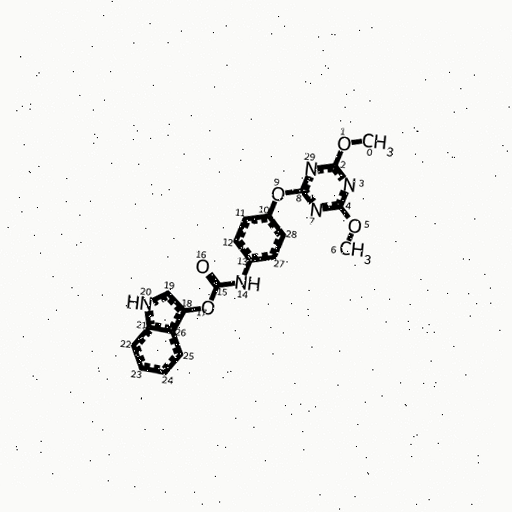 COc1nc(OC)nc(Oc2ccc(NC(=O)Oc3c[nH]c4ccccc34)cc2)n1